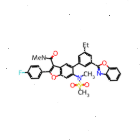 CCc1cc(-c2nc3ccccc3o2)cc(-c2cc3c(C(=O)NC)c(-c4ccc(F)cc4)oc3cc2N(C)S(C)(=O)=O)c1